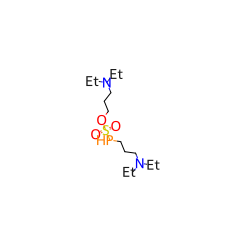 CCN(CC)CCCOS(=O)(=O)PCCCN(CC)CC